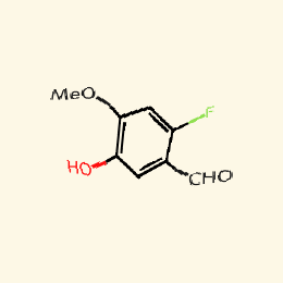 COc1cc(F)c(C=O)cc1O